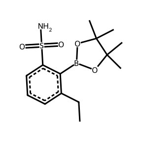 CCc1cccc(S(N)(=O)=O)c1B1OC(C)(C)C(C)(C)O1